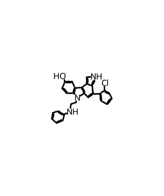 Oc1ccc2c(c1)c1c3c[nH]cc3c(-c3ccccc3Cl)cc1n2CCNc1ccccc1